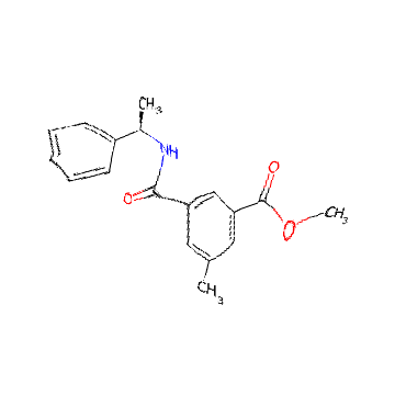 COC(=O)c1cc(C)cc(C(=O)N[C@H](C)c2ccccc2)c1